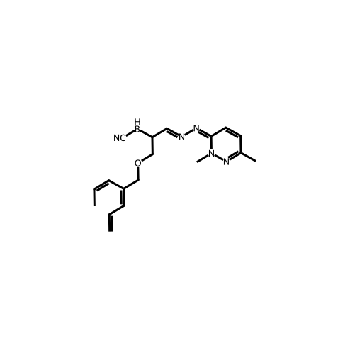 C=C/C=C(\C=C/C)COCC(BC#N)/C=N/N=c1/ccc(C)nn1C